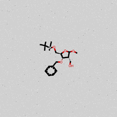 COC1O[C@H](CO[Si](C)(C)C(C)(C)C)[C@@H](OCc2ccccc2)[C@H]1CO